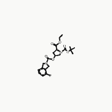 CCOC(=O)C1CC(OC(=O)N2Cc3cccc(F)c3C2)CN1C(=O)OC(C)(C)C